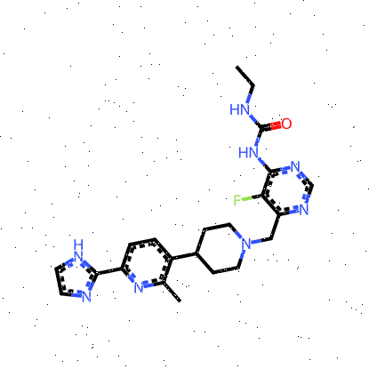 CCNC(=O)Nc1ncnc(CN2CCC(c3ccc(-c4ncc[nH]4)nc3C)CC2)c1F